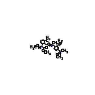 CO/N=C(/C)c1ccc(/C(C)=N/OCc2c(C)cccc2/C(=N\OC)C(=O)OC)c(CC(F)(F)F)c1